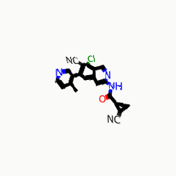 Cc1ccncc1-c1cc2cc(NC(=O)C3CC3C#N)ncc2c(Cl)c1C#N